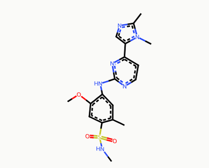 CNS(=O)(=O)c1cc(OC)c(Nc2nccc(-c3cnc(C)n3C)n2)cc1C